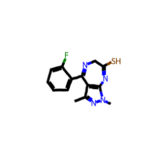 Cc1nn(C)c2c1C(c1ccccc1F)=NCC(S)=N2